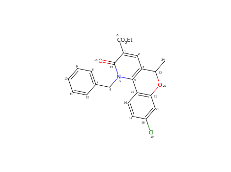 CCOC(=O)c1cc2c(n(Cc3ccccc3)c1=O)-c1ccc(Cl)cc1OC2C